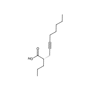 CCCCCC#CC[C@H](CCC)C(=O)O